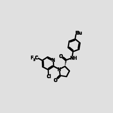 CCC(C)c1ccc(NC(=O)[C@@H]2CCC(=O)N2c2ncc(C(F)(F)F)cc2Cl)cc1